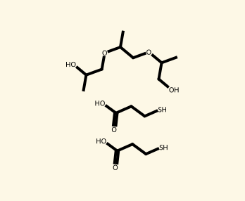 CC(O)COC(C)COC(C)CO.O=C(O)CCS.O=C(O)CCS